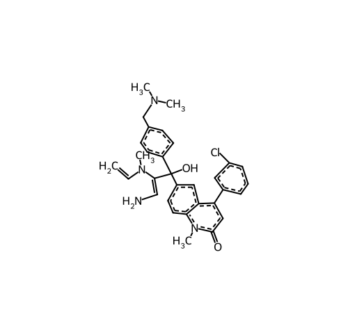 C=CN(C)/C(=C\N)C(O)(c1ccc(CN(C)C)cc1)c1ccc2c(c1)c(-c1cccc(Cl)c1)cc(=O)n2C